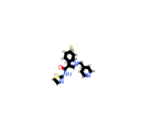 O=C(Nc1nccs1)c1cn(Cc2ccncc2)c2cc(F)ccc12